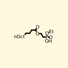 CCCCCCCCCCCC(=O)OCCP(=O)(O)OCC